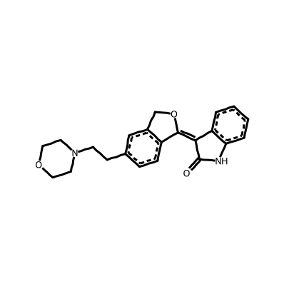 O=C1Nc2ccccc2C1=C1OCc2cc(CCN3CCOCC3)ccc21